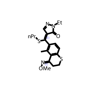 CCCS/C(=C1\C=NN(CC)C1=O)c1ccc2c(c1C)/C(=N/OC)CCS2